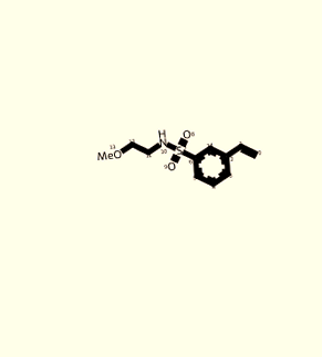 C=Cc1cccc(S(=O)(=O)NCCOC)c1